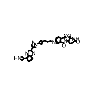 O=C1CCC(N2C(=O)c3ccc(NCCCC4CC(n5cc(-c6cnc7c(C8CNC8)cccc7n6)cn5)C4)cc3C2=O)C(=O)N1